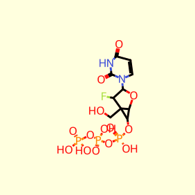 O=c1ccn(C2OC3C(OP(=O)(O)OP(=O)(O)OP(=O)(O)O)C3(CO)C2F)c(=O)[nH]1